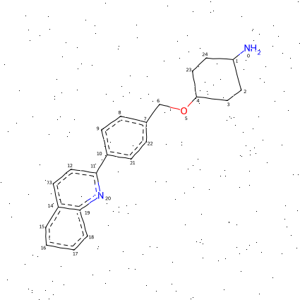 NC1CCC(OCc2ccc(-c3ccc4ccccc4n3)cc2)CC1